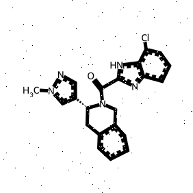 Cn1cc([C@H]2Cc3ccccc3CN2C(=O)c2nc3cccc(Cl)c3[nH]2)cn1